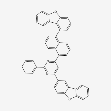 C1=CC(c2nc(-c3ccc4oc5ccccc5c4c3)nc(-c3cccc4c(-c5cccc6oc7ccccc7c56)cccc34)n2)=CCC1